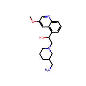 COc1cnc2cccc(C(O)CN3CCCC(CN)C3)c2c1